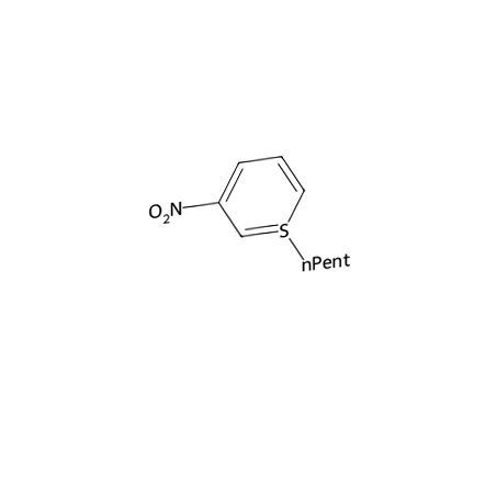 CCCCCS1=CC([N+](=O)[O-])=CC=C1